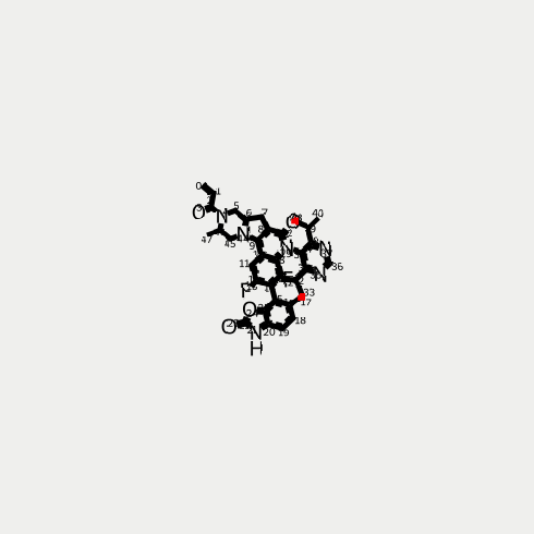 C=CC(=O)N1CC2Cc3c(c4cc(F)c(-c5c(C)ccc6[nH]c(=O)oc56)c(F)c4n(-c4c(C(C)C)ncnc4C(C)C)c3=O)N2CC1C